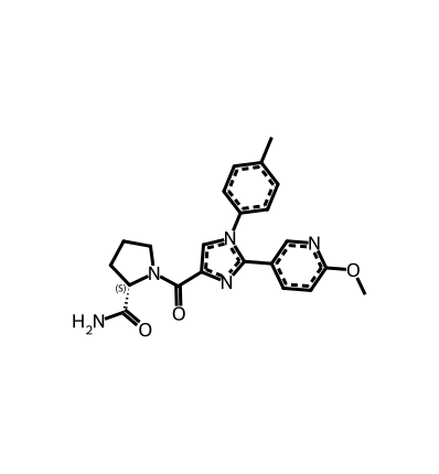 COc1ccc(-c2nc(C(=O)N3CCC[C@H]3C(N)=O)cn2-c2ccc(C)cc2)cn1